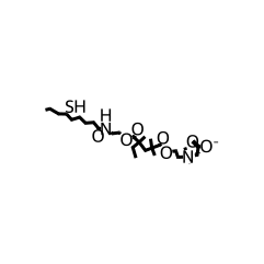 CCCC(S)CCCCC(=O)NCCOC(=O)C(C)(CC)CC(C)(C)C(=O)OCC[N+](C)(C)CC(=O)[O-]